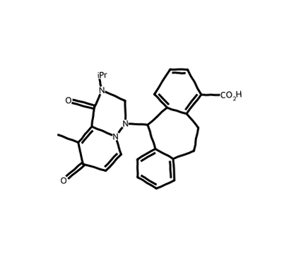 Cc1c2n(ccc1=O)N(C1c3ccccc3CCc3c(C(=O)O)cccc31)CN(C(C)C)C2=O